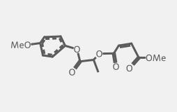 COC(=O)/C=C\C(=O)OC(C)C(=O)Oc1ccc(OC)cc1